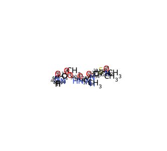 COc1cc2c(cc1OCCCC(=O)Nc1cc(C(=O)Nc3ccc4sc(C(=O)N(C)C)cc4c3)n(C)c1)N=C[C@@H]1CCCN1C2=O